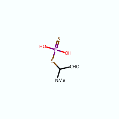 CNC(C=O)SP(O)(O)=S